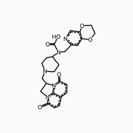 O=C(O)N(Cc1cc2c(cn1)OCCO2)C1CCN(CC2Cn3c(=O)ccc4ccc(=O)n2c43)CC1